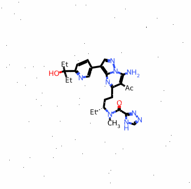 CC[C@H](CCc1nc2c(-c3ccc(C(O)(CC)CC)nc3)cnn2c(N)c1C(C)=O)N(C)C(=O)c1nnc[nH]1